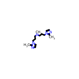 Cc1nccn1CCCN(C)CCCn1ccnc1C